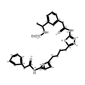 CCOC(=O)NC(C)c1cccc(CC(=O)Nc2nnc(CCCCc3cc4c(NC(=O)Cc5ccccc5)n3-4)s2)c1